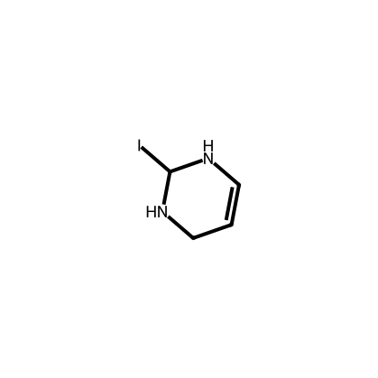 IC1NC=CCN1